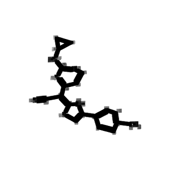 Cc1ccc(C2=CSC(=C(C#N)c3ccnc(NC4CC4)n3)N2)cc1